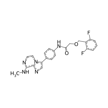 CNc1nccn2c(-c3ccc(NC(=O)COCc4c(F)cccc4F)cc3)cnc12